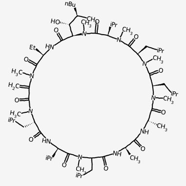 C=C1C(=O)N(C)[C@@H](CC(C)C)C(=O)N[C@H](C(C)C)C(=O)N(C)C(CC(C)C)C(=O)N[C@H](C)C(=O)N[C@@H](C)C(=O)N(C)[C@H](CC(C)C)C(=O)N(C)[C@H](CC(C)C)C(=O)N(C)[C@H](C(C)C)C(=O)N(C)[C@H]([C@H](O)[C@H](C)CCCC)C(=O)N[C@H](CC)C(=O)N1C